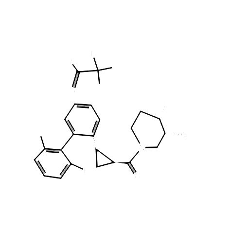 N[C@@H]1CN(C(=O)[C@H]2C[C@@H]2c2ccccc2-c2c(F)cccc2F)CC[C@@H]1F.O=C(O)C(F)(F)F